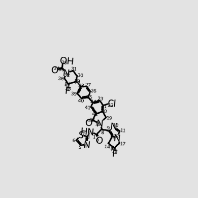 O=C(Nc1nccs1)C(c1ncn2c1C[C@@H](F)C2)N1Cc2c(Cl)cc(-c3ccc([C@@H]4CCN(C(=O)O)C[C@H]4F)cc3)cc2C1=O